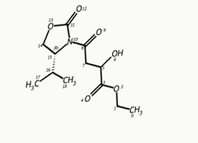 CCOC(=O)C(O)CC(=O)N1C(=O)OC[C@H]1C(C)C